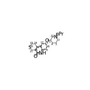 CCCN1CCCC(Oc2ccc3[nH]c(=O)c4c(c3c2)CCSC4)C1